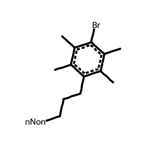 CCCCCCCCCCCCc1c(C)c(C)c(Br)c(C)c1C